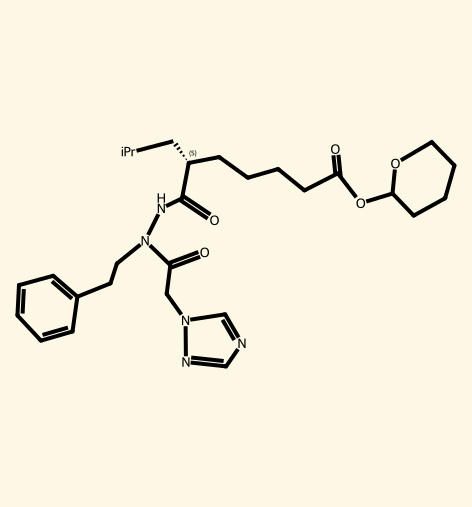 CC(C)C[C@H](CCCCC(=O)OC1CCCCO1)C(=O)NN(CCc1ccccc1)C(=O)Cn1cncn1